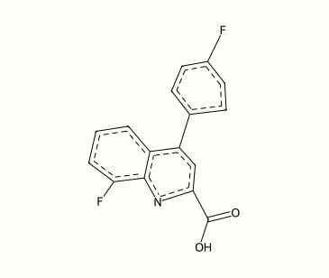 O=C(O)c1cc(-c2ccc(F)cc2)c2cccc(F)c2n1